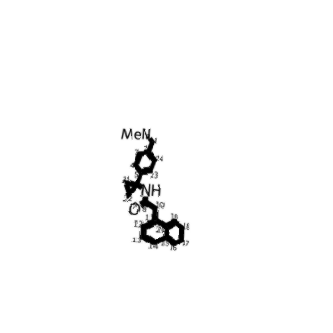 CNCc1ccc(C2(NC(=O)Cc3cccc4ccccc34)CC2)cc1